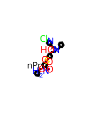 CCCc1cc(S(=O)(=O)c2ccc(CCN(Cc3ccccc3)C[C@@H](O)c3ccc(Cl)nc3)cc2)cc(C(N)=O)c1OCc1ccccc1